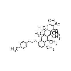 C=C1C2=C(C)[C@@]3(C)C(=O)C(C(C)=O)=C(O)C[C@@]3(C)C[C@@]2(C)Cc2c(CCCc3ccc(C)cc3)ccc(C)c21